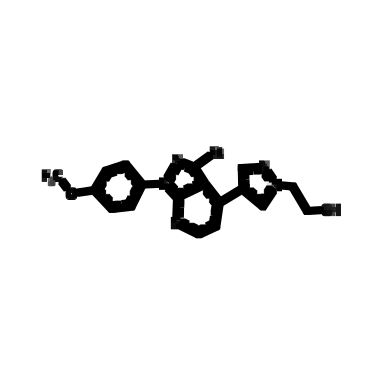 CCc1nn(-c2ccc(OC(F)(F)F)cc2)c2nccc(-c3cnn(CCO)c3)c12